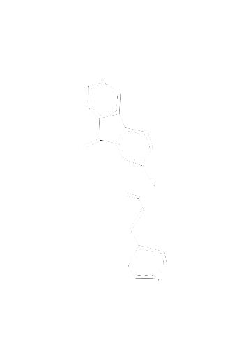 O=C(/C=C/c1ccncc1)Nc1ccc2c(c1)C(=O)c1nc(C(F)(F)F)ncc1-2